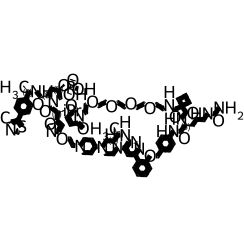 Cc1ncsc1-c1ccc([C@H](C)NC(=O)[C@@H]2C[C@@H](OP(=O)(O)O)CN2C(=O)[C@@H](c2cc(OCCN3CCC(N4CCN5c6cc(-c7ccccc7OCc7ccc(NC(=O)[C@H](CCCNC(N)=O)NC(=O)C8(C(=O)NCCOCCOCCOCCOCCN9C(=O)C=CC9=O)CCC8)cc7)nnc6N[C@@H](C)[C@@H]5C4)CC3)no2)C(C)C)cc1